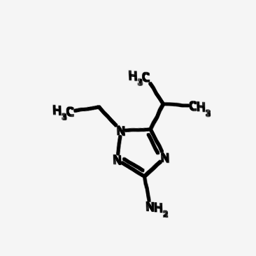 CCn1nc(N)nc1C(C)C